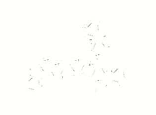 CC1(C)c2ccccc2-c2cc(N(c3ccc(-c4ccc5c(ccc6sc7ccccc7c65)c4)cc3)c3ccc4oc5ccccc5c4c3)ccc21